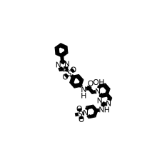 CS(=O)(=O)N1CCC(Nc2ncc3c(n2)N(CC(=O)Nc2ccc(S(=O)(=O)n4cnc(-c5ccccc5)n4)cc2)C(O)C=C3)CC1